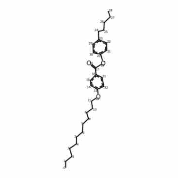 CCCCCCCCCCCCOc1ccc(C(=O)Oc2ccc(CCCCC)cc2)cc1